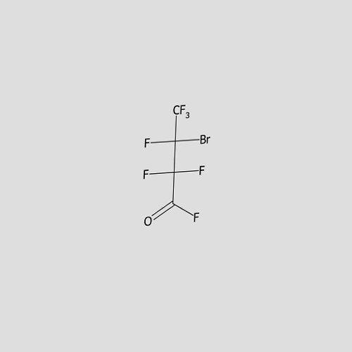 O=C(F)C(F)(F)C(F)(Br)C(F)(F)F